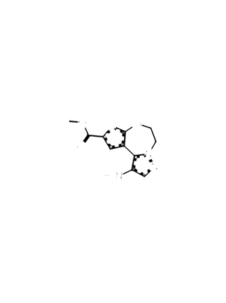 COC(=O)c1cc2c(s1)OCCn1ncc(N)c1-2